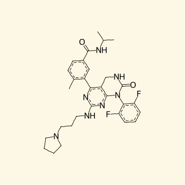 Cc1ccc(C(=O)NC(C)C)cc1-c1nc(NCCCN2CCCC2)nc2c1CNC(=O)N2c1c(F)cccc1F